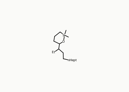 CCCCCCCCCC(CC)C1CCC[Si](C)(C)O1